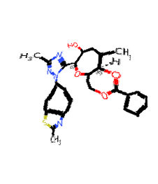 Cc1nc([C@@H]2OC3COC(c4ccccc4)O[C@@H]3C(C)CC2O)n(-c2ccc3nc(C)sc3c2)n1